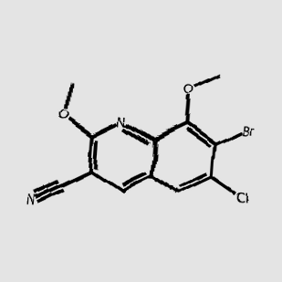 COc1nc2c(OC)c(Br)c(Cl)cc2cc1C#N